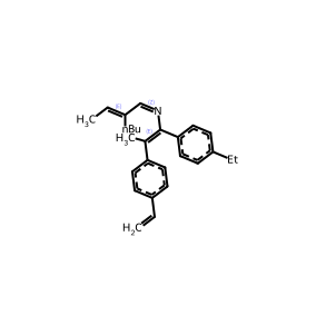 C=Cc1ccc(/C(C)=C(/N=C\C(=C\C)CCCC)c2ccc(CC)cc2)cc1